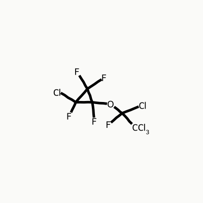 FC(Cl)(OC1(F)C(F)(F)C1(F)Cl)C(Cl)(Cl)Cl